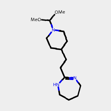 COC(OC)N1CCC(CCC2=NCCCCN2)CC1